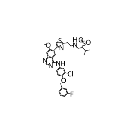 COc1cc2ncnc(Nc3ccc(OCc4cccc(F)c4)c(Cl)c3)c2cc1-c1csc(CCNCC(C(C)C)=S(=O)=O)n1